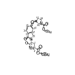 CC(C)(C)OC(=O)CCC(C(N)=O)N1Cc2cc(O[C@H]3CCN(C(=O)OC(C)(C)C)C3)ccc2C1=O